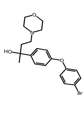 CC(O)(CCN1CCOCC1)c1ccc(Oc2ccc(Br)cc2)cc1